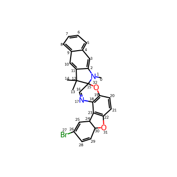 CN1c2cc3ccccc3cc2C(C)(C)C12C=Nc1c(ccc3c1C1C=C(Br)C=CC1O3)O2